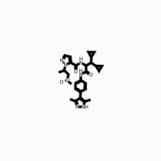 Cc1n[nH]c(C)c1-c1ccc(NC(=O)C(NC(=O)c2ccnn2C(C)C[S+](C)[O-])C(C2CC2)C2CC2)cc1